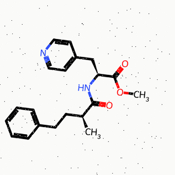 COC(=O)[C@H](Cc1ccncc1)NC(=O)[C@@H](C)CCc1ccccc1